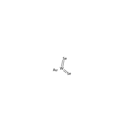 [Au].[Se]=[W]=[Se]